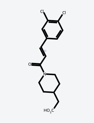 O=C(O)CC1CCN(C(=O)/C=C/c2ccc(Cl)c(Cl)c2)CC1